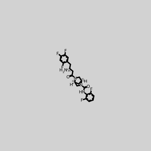 N[C@@H](CC(=O)N1C[C@@H]2C[C@H]1CN2C(=O)Nc1c(F)cccc1F)Cc1cc(F)c(F)cc1F